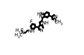 CN(C)CCNc1cc(F)cc(-c2cncc3[nH]c(-c4n[nH]c5ccc(-c6cnn(C)c6)cc45)cc23)c1